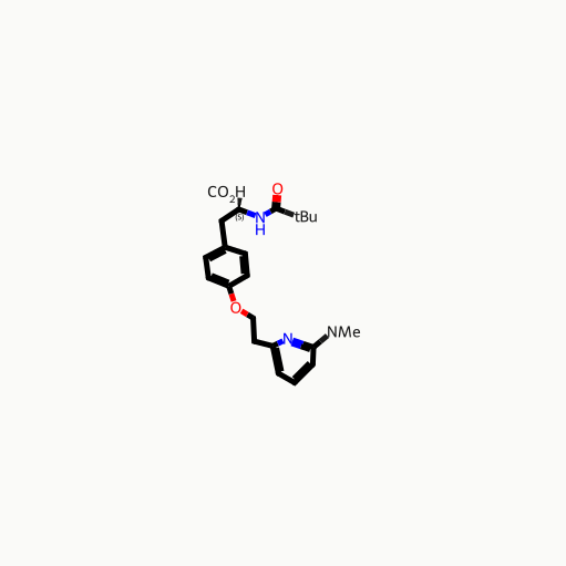 CNc1cccc(CCOc2ccc(C[C@H](NC(=O)C(C)(C)C)C(=O)O)cc2)n1